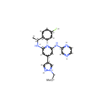 COCn1cc(-c2cc(Nc3cnccn3)nc(N[C@@H](C)c3ccc(F)cc3)c2)cn1